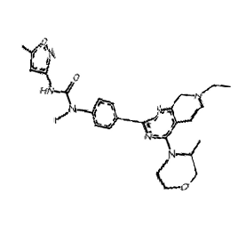 CCN1CCc2c(nc(-c3ccc(N(I)C(=O)Nc4cc(C)on4)cc3)nc2N2CCOCC2C)C1